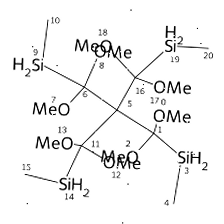 COC(OC)([SiH2]C)C(C(OC)(OC)[SiH2]C)(C(OC)(OC)[SiH2]C)C(OC)(OC)[SiH2]C